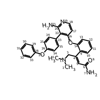 CN(C)CC(=CC(N)=O)c1ccccc1Oc1ccnc(N)c1-c1ccc(Oc2ccccc2)cc1